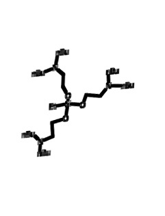 CCCCN(CCCC)CCO[Si](CC)(OCCN(CCCC)CCCC)OCCN(CCCC)CCCC